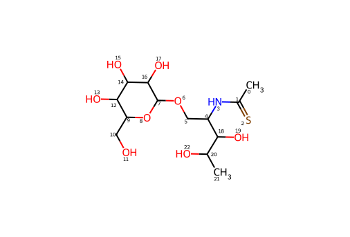 CC(=S)NC(COC1OC(CO)C(O)C(O)C1O)C(O)C(C)O